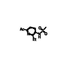 CCc1nc(C(C)=O)ccc1NS(C)(=O)=O